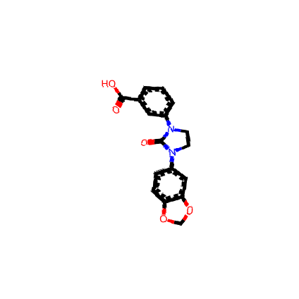 O=C(O)c1cccc(N2CCN(c3ccc4c(c3)OCO4)C2=O)c1